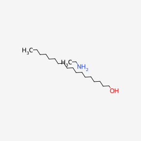 CCCCCCCCCCCCCCCCCCO.CCN